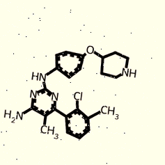 Cc1cccc(-c2nc(Nc3ccc(OC4CCNCC4)cc3)nc(N)c2C)c1Cl